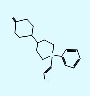 CCCC=C[Si]1(c2ccccc2)CCC(C2CCC(=O)CC2)CC1